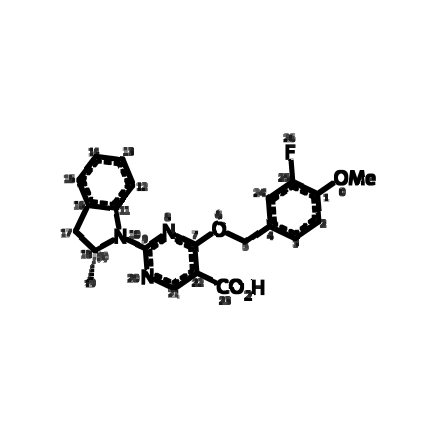 COc1ccc(COc2nc(N3c4ccccc4C[C@H]3C)ncc2C(=O)O)cc1F